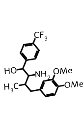 COc1ccc(CC(C)C(N)C(O)c2ccc(C(F)(F)F)cc2)cc1OC